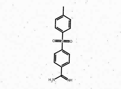 Cc1ccc(S(=O)(=O)c2ccc(C(=N)N)cc2)cc1